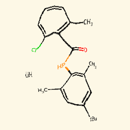 Cc1cc(C(C)(C)C)cc(C)c1PC(=O)c1c(C)cccc1Cl.[LiH]